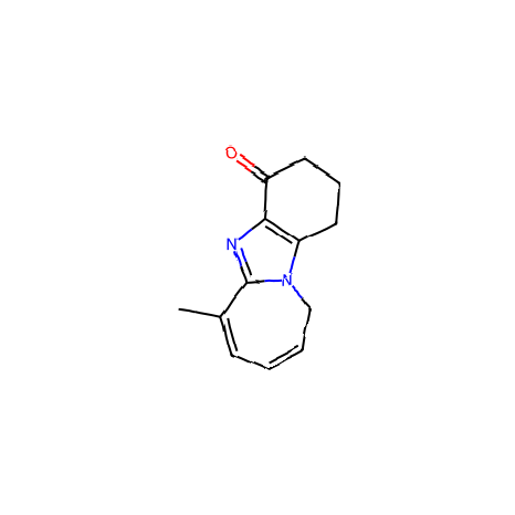 CC1=CC=CCn2c1nc1c2CCCC1=O